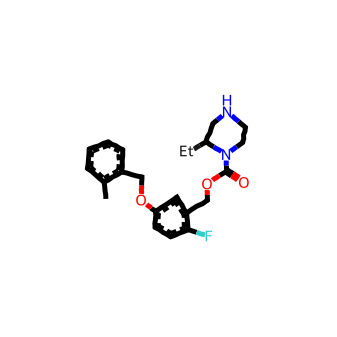 CCC1CNCCN1C(=O)OCc1cc(OCc2ccccc2C)ccc1F